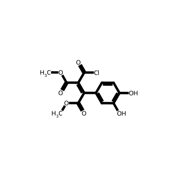 COC(=O)C(C(=O)Cl)=C(C(=O)OC)c1ccc(O)c(O)c1